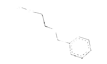 [Br][Mg][CH2]COCc1ccccc1